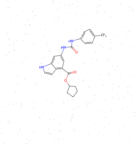 O=C(Nc1ccc(C(F)(F)F)cc1)Nc1cc(C(=O)OC2CCCC2)c2cc[nH]c2c1